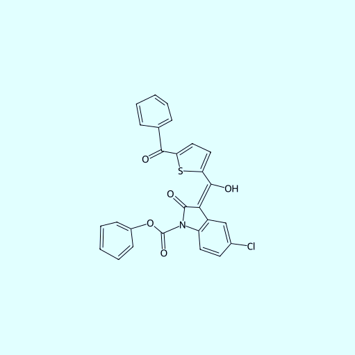 O=C(c1ccccc1)c1ccc(/C(O)=C2\C(=O)N(C(=O)Oc3ccccc3)c3ccc(Cl)cc32)s1